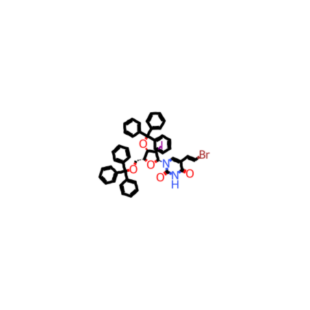 O=c1[nH]c(=O)n([C@@H]2O[C@H](COC(c3ccccc3)(c3ccccc3)c3ccccc3)[C@@H](OC(c3ccccc3)(c3ccccc3)c3ccccc3)[C@H]2I)cc1C=CBr